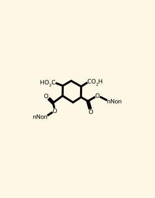 CCCCCCCCCOC(=O)C1CC(C(=O)OCCCCCCCCC)C(C(=O)O)CC1C(=O)O